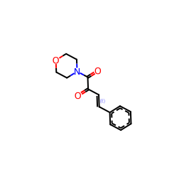 O=C(/C=C/c1ccccc1)C(=O)N1CCOCC1